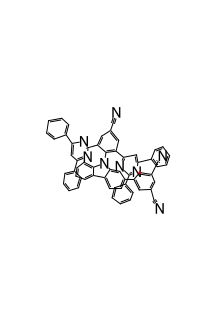 N#Cc1cc(C#N)cc(-c2ccc3c4ccccc4n(-c4c(-c5cc(-c6ccccc6)nc(-c6ccccc6)n5)cc(C#N)cc4-c4nc(-c5ccccc5)cc(-c5ccccc5)n4)c3c2)c1